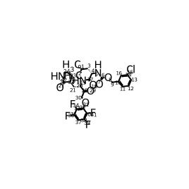 CC(C)C[C@H](NC(=O)OCc1cccc(Cl)c1)C(=O)N[C@@H](C[C@@H]1CCNC1=O)C(=O)COc1c(F)c(F)cc(F)c1F